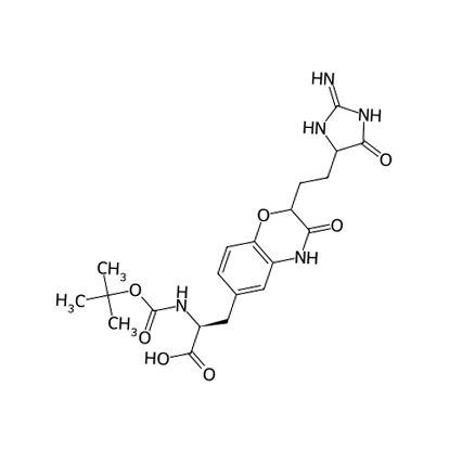 CC(C)(C)OC(=O)N[C@@H](Cc1ccc2c(c1)NC(=O)C(CCC1NC(=N)NC1=O)O2)C(=O)O